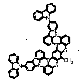 Cc1c2c(cc3c1Sc1cccc4c1B3c1cccc3c5cc(-n6c7ccccc7c7ccccc76)ccc5n-4c13)B1c3c(cccc3-n3c4ccc(-n5c6ccccc6c6ccccc65)cc4c4cccc1c43)S2